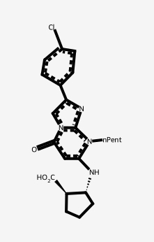 CCCCCn1c(N[C@@H]2CCC[C@H]2C(=O)O)cc(=O)n2cc(-c3ccc(Cl)cc3)nc12